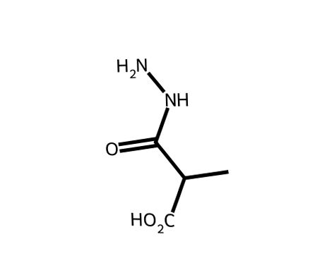 CC(C(=O)O)C(=O)NN